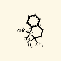 CC1(C)CCc2ccccc2[N+]1(Cl)[C]=O